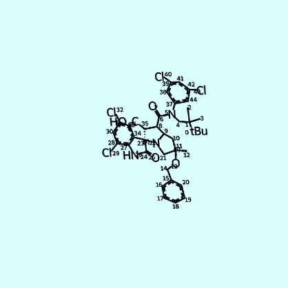 CC(C)(C)C(C)(C)CN(C(=O)C1C2C[C@](C)(OCc3ccccc3)CN2[C@]2(C(=O)Nc3c(Cl)cc(Cl)cc32)C1C(=O)O)c1cc(Cl)cc(Cl)c1